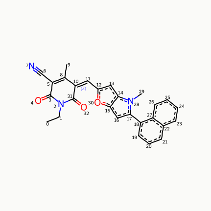 CCN1C(=O)C(C#N)=C(C)/C(=C/c2cc3c(cc(-c4cccc5ccccc45)n3C)o2)C1=O